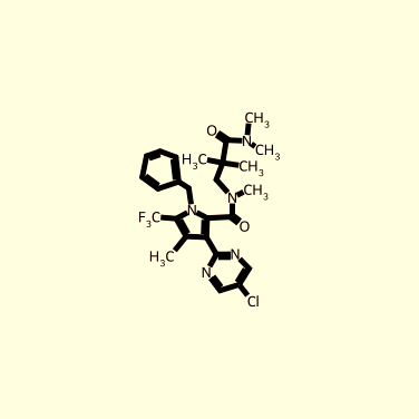 Cc1c(-c2ncc(Cl)cn2)c(C(=O)N(C)CC(C)(C)C(=O)N(C)C)n(Cc2ccccc2)c1C(F)(F)F